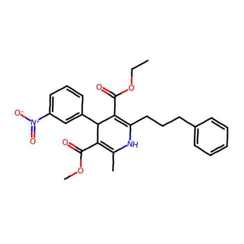 CCOC(=O)C1=C(CCCc2ccccc2)NC(C)=C(C(=O)OC)C1c1cccc([N+](=O)[O-])c1